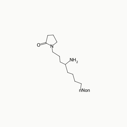 CCCCCCCCCCCCCC(N)CCCN1CCCC1=O